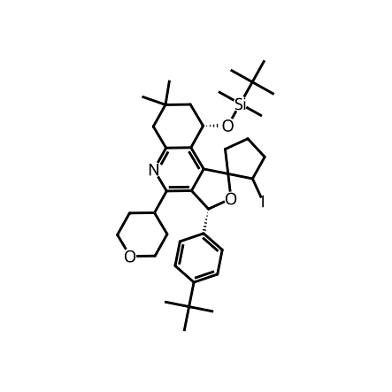 CC1(C)Cc2nc(C3CCOCC3)c3c(c2[C@@H](O[Si](C)(C)C(C)(C)C)C1)C1(CCCC1I)O[C@@H]3c1ccc(C(C)(C)C)cc1